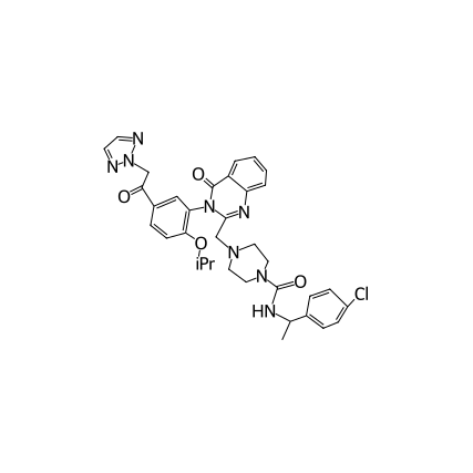 CC(C)Oc1ccc(C(=O)Cn2nccn2)cc1-n1c(CN2CCN(C(=O)NC(C)c3ccc(Cl)cc3)CC2)nc2ccccc2c1=O